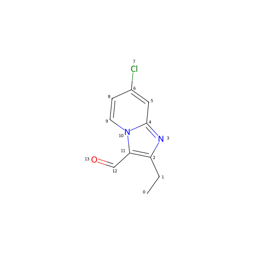 CCc1nc2cc(Cl)ccn2c1C=O